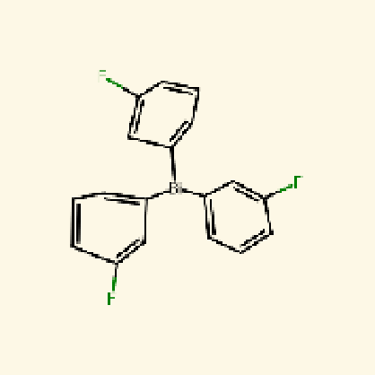 Fc1ccc[c]([Bi]([c]2cccc(F)c2)[c]2cccc(F)c2)c1